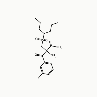 CCCC(CCC)S(=O)(=O)CC(N)(C(N)=O)C(=O)c1cccc(C)c1